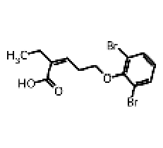 CCC(=CCCOc1c(Br)cccc1Br)C(=O)O